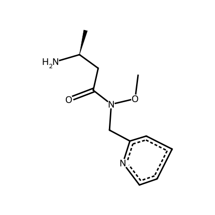 CON(Cc1ccccn1)C(=O)C[C@H](C)N